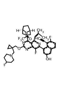 C#Cc1c(F)ccc2cc(O)cc(-c3nc(C=C(C)C)c4c(N5C[C@H]6CC[C@@H](C5)N6C(=O)C(F)(F)F)nc(OCC5(CN6CCC(F)CC6)CC5)nc4c3F)c12